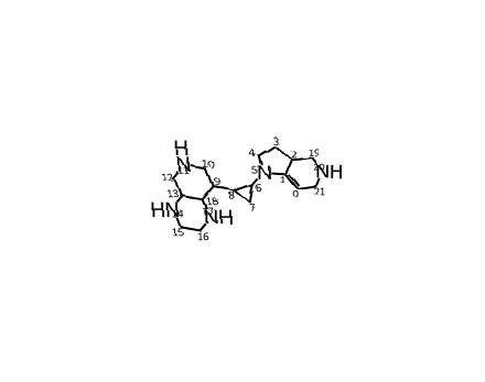 C1=C2C(CCN2C2CC2C2CNCC3NCCNC32)CNC1